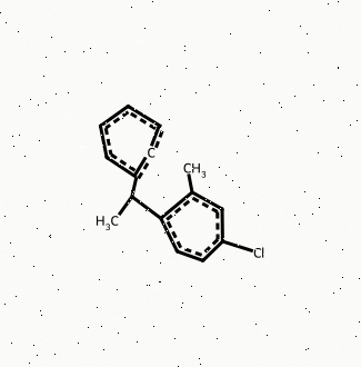 Cc1cc(Cl)ccc1C(C)c1ccccc1